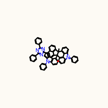 CC12c3cccc4c(-c5nc(-c6ccccc6)nc(-c6ccccc6)n5)ccc(c34)C1(c1cccc3c1C1C=CC=C1N3c1ccccc1)c1cccc3c1c1c2cccc1n3-c1ccccc1